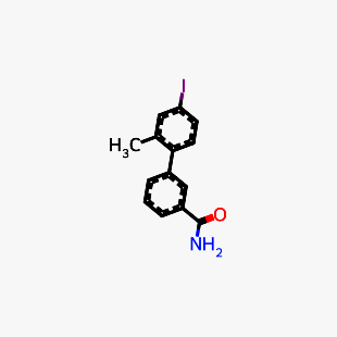 Cc1cc(I)ccc1-c1cccc(C(N)=O)c1